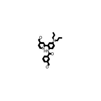 CCCN(CCC)c1ccc(NC(=O)c2cccc(C=O)c2)c(-c2cc(C=O)ccn2)c1